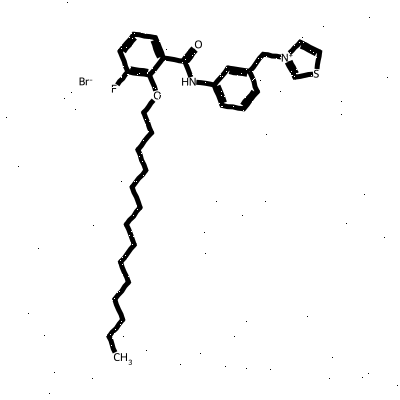 CCCCCCCCCCCCCCOc1c(F)cccc1C(=O)Nc1cccc(C[n+]2ccsc2)c1.[Br-]